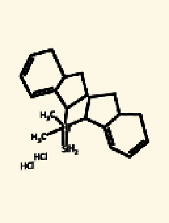 Cl.Cl.[CH3][Hf]([CH3])(=[SiH2])([CH]1CCC2CC=CC=C21)[CH]1CCC2CC=CC=C21